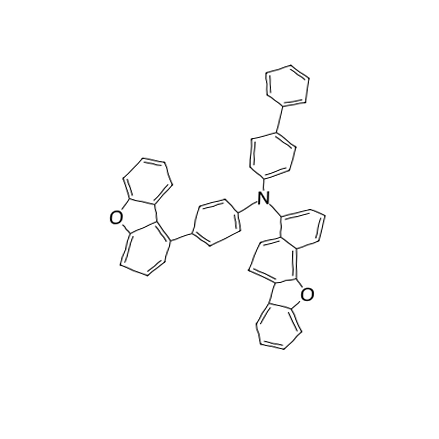 c1ccc(-c2ccc(N(c3ccc(-c4cccc5oc6ccccc6c45)cc3)c3cccc4c3ccc3c5ccccc5oc43)cc2)cc1